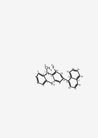 CN(c1ccccc1F)c1ccc(-c2cccc3ccccc23)cc1F